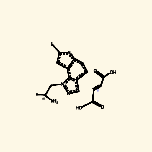 C[C@H](N)Cn1ncc2ccc3sc(I)cc3c21.O=C(O)/C=C/C(=O)O